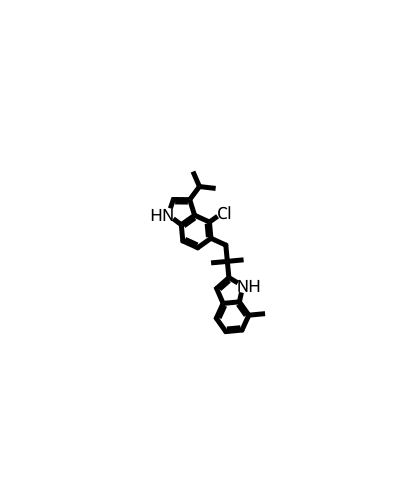 Cc1cccc2cc(C(C)(C)Cc3ccc4[nH]cc(C(C)C)c4c3Cl)[nH]c12